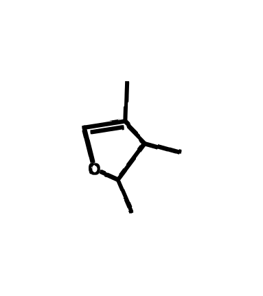 CC1=COC(C)C1C